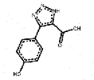 O=C(O)c1[nH]nnc1-c1ccc(O)cc1